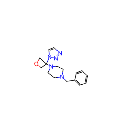 c1ccc(CN2CCN(C3(n4ccnn4)COC3)CC2)cc1